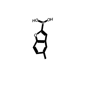 Cc1ccc2oc(B(O)O)cc2c1